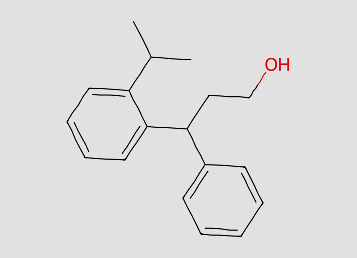 CC(C)c1ccccc1C(CCO)c1ccccc1